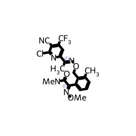 CNC(=O)/C(=N/OC)c1cccc(C)c1CO/N=C(\C)c1cc(C(F)(F)F)c(C#N)c(Cl)n1